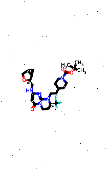 CC(C)(C)OC(=O)N1CCC(CCN2c3nc(NC[C@H]4OCC5CC54)cc(=O)n3CC[C@H]2C(F)(F)F)CC1